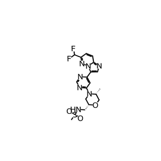 C[C@@H]1CO[C@H](CNS(C)(=O)=O)CN1c1cc(-c2cnc3ccc(C(F)F)nn23)ncn1